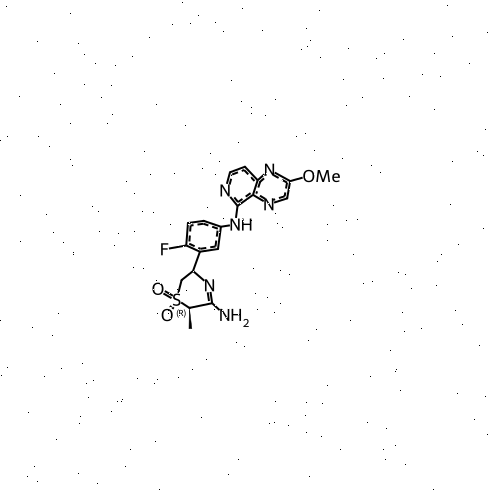 COc1cnc2c(Nc3ccc(F)c(C4CS(=O)(=O)[C@H](C)C(N)=N4)c3)nccc2n1